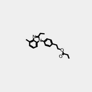 CCC(=O)OCCc1ccc(-n2c(CC)nc3c(C)cccc32)cc1